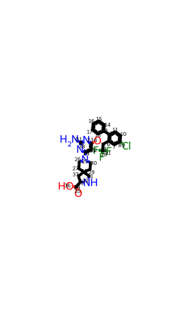 Nc1nc(O[C@H](c2cc(Cl)ccc2-c2ccccc2)C(F)(F)F)cc(N2CCC3(CC2)CNC(C(=O)O)C3)n1